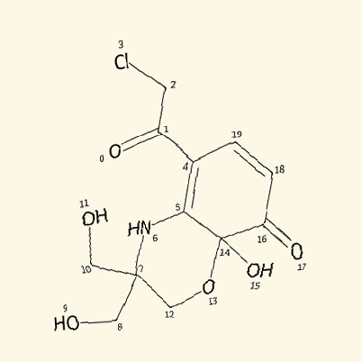 O=C(CCl)C1=C2NC(CO)(CO)COC2(O)C(=O)C=C1